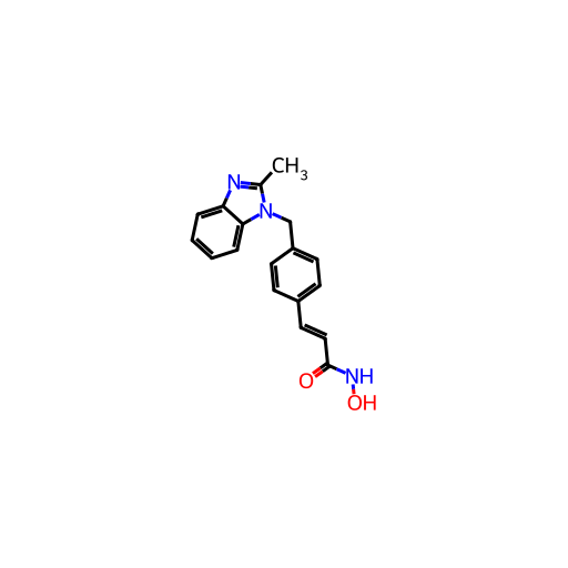 Cc1nc2ccccc2n1Cc1ccc(/C=C/C(=O)NO)cc1